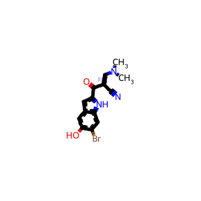 CN(C)/C=C(\C#N)C(=O)c1cc2cc(O)c(Br)cc2[nH]1